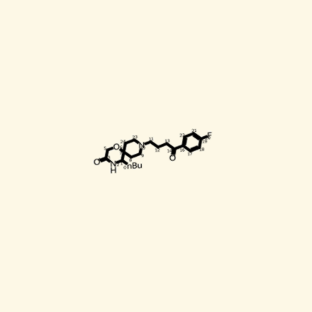 CCCCC1NC(=O)COC12CCN(CCCC(=O)c1ccc(F)cc1)CC2